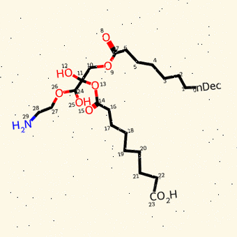 CCCCCCCCCCCCCCCCC(=O)OCC(O)(OC(=O)CCCCCCCC(=O)O)C(O)OCCN